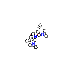 c1ccc(-c2cccc(-c3ccccc3N(c3ccc(-n4c5ccccc5c5ccccc54)cc3)c3ccc4c(c3)C3(c5ccccc5-c5ccccc53)c3cccc5c6ccccc6n-4c35)c2)cc1